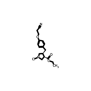 CCOC(=O)[C@H]1CN(Cl)C[C@H]1Cc1ccc(OCCC#N)cc1